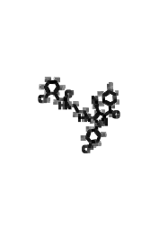 Cc1ccc(C(=O)c2nn(-c3ccc(Cl)cc3)c(NCCCNC(=O)Cc3ccccc3Cl)c2C#N)cc1